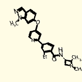 CCc1cc(-c2cc(Oc3ccc4cnn(C)c4c3)ccn2)ccc1C(=O)N[C@H]1CN(C)[C@@H]1C